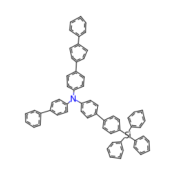 c1ccc(-c2ccc(-c3ccc(N(c4ccc(-c5ccccc5)cc4)c4ccc(-c5ccc([Si](c6ccccc6)(c6ccccc6)c6ccccc6)cc5)cc4)cc3)cc2)cc1